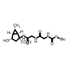 CCOC(=O)[C@]1(NC(=O)CNC(=O)CNC(=O)OC(C)(C)C)C[C@H](O)[C@H]2[C@H](C)[C@H]21